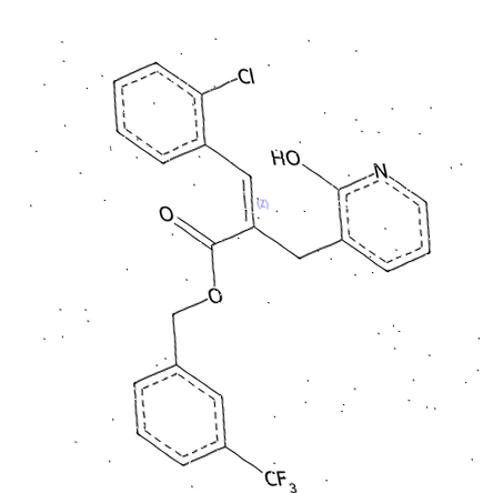 O=C(OCc1cccc(C(F)(F)F)c1)/C(=C\c1ccccc1Cl)Cc1cccnc1O